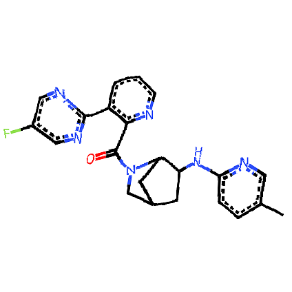 Cc1ccc(NC2CC3CC2N(C(=O)c2ncccc2-c2ncc(F)cn2)C3)nc1